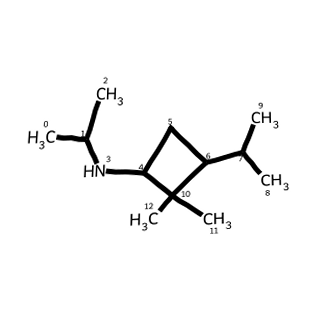 CC(C)NC1CC(C(C)C)C1(C)C